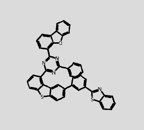 c1ccc(-c2nc(-c3cccc4c3oc3ccccc34)nc(-c3cccc4sc5ccc(-c6cccc(-c7nc8ccccc8s7)c6)cc5c34)n2)cc1